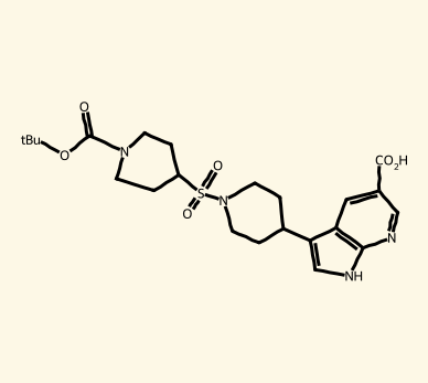 CC(C)(C)OC(=O)N1CCC(S(=O)(=O)N2CCC(c3c[nH]c4ncc(C(=O)O)cc34)CC2)CC1